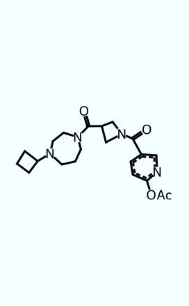 CC(=O)Oc1ccc(C(=O)N2CC(C(=O)N3CCCN(C4CCC4)CC3)C2)cn1